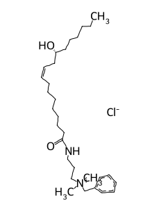 CCCCCC[C@@H](O)C/C=C\CCCCCCCC(=O)NCCC[N+](C)(C)Cc1ccccc1.[Cl-]